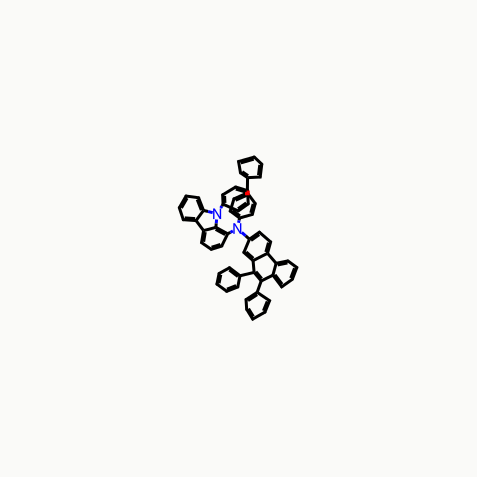 c1ccc(-c2ccc(N(c3ccc4c(c3)c(-c3ccccc3)c(-c3ccccc3)c3ccccc34)c3cccc4c5ccccc5n(-c5ccccc5)c34)cc2)cc1